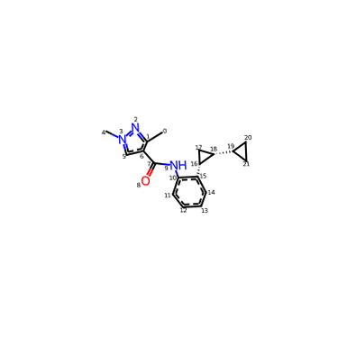 Cc1nn(C)cc1C(=O)Nc1ccccc1[C@@H]1C[C@@H]1C1CC1